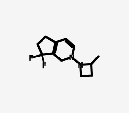 CC1CCN1N1C=CC2=C(C1)C(F)(F)CC2